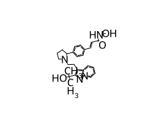 CC(C)(O)c1nn2ccccc2c1CCN1CCCC1c1ccc(/C=C/C(=O)NO)cc1